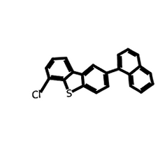 Clc1cccc2c1sc1ccc(-c3cccc4ccccc34)cc12